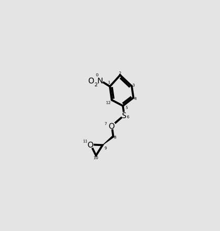 O=[N+]([O-])c1cccc(SOC[C@H]2CO2)c1